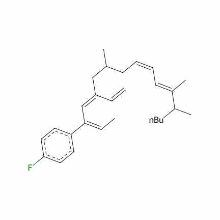 C=C/C(=C\C(=C/C)c1ccc(F)cc1)CC(C)C/C=C\C=C(/C)C(C)CCCC